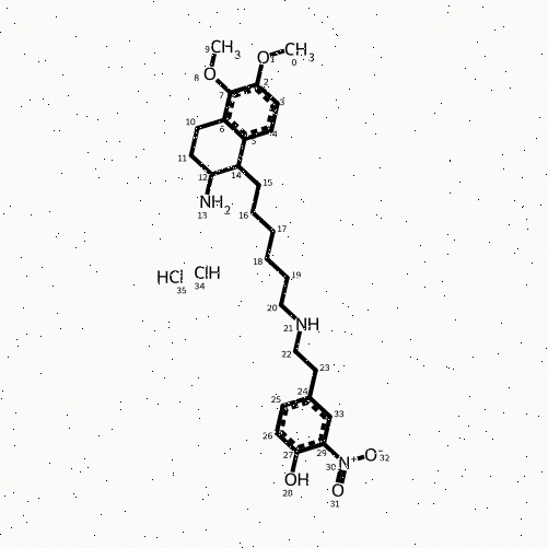 COc1ccc2c(c1OC)CCC(N)C2CCCCCCNCCc1ccc(O)c([N+](=O)[O-])c1.Cl.Cl